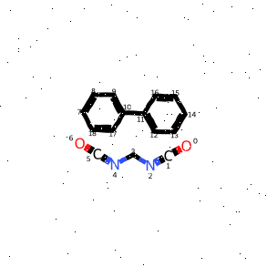 O=C=NCN=C=O.c1ccc(-c2ccccc2)cc1